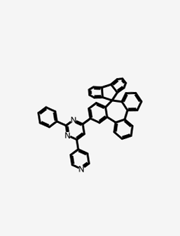 c1ccc(-c2nc(-c3ccncc3)cc(-c3ccc4c(c3)-c3ccccc3-c3ccccc3C43c4ccccc4-c4ccccc43)n2)cc1